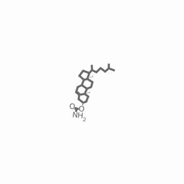 CC(C)CCCC(C)C1CCC2C3CC=C4C[C@@H](OC(N)=O)CC[C@]4(C)C3CC[C@]12C